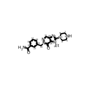 CCn1c(N2CCNCC2)nc2cnn(Cc3cccc(C(N)=O)c3)c(=O)c21